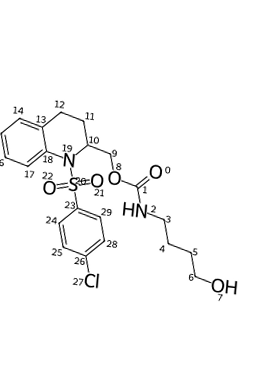 O=C(NCCCCO)OCC1CCc2ccccc2N1S(=O)(=O)c1ccc(Cl)cc1